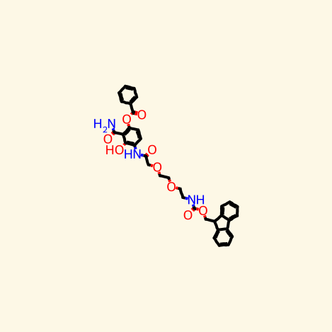 NC(=O)c1c(OC(=O)c2ccccc2)ccc(NC(=O)COCCOCCNC(=O)OCC2c3ccccc3-c3ccccc32)c1O